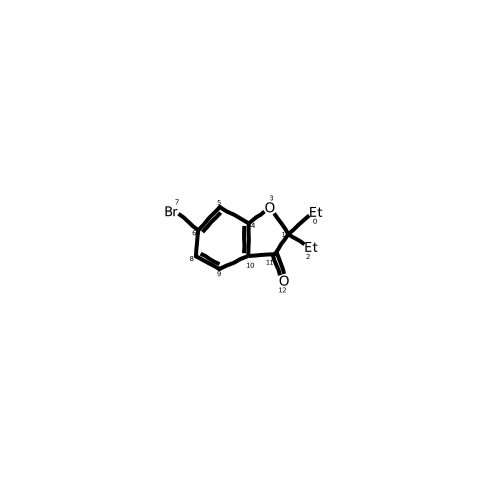 CCC1(CC)Oc2cc(Br)ccc2C1=O